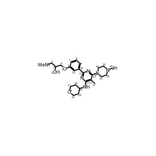 CNCC(O)COc1cccc(-c2nc(NC3CCOCC3)c(C)c(N3CCN(C(C)C)CC3)n2)c1